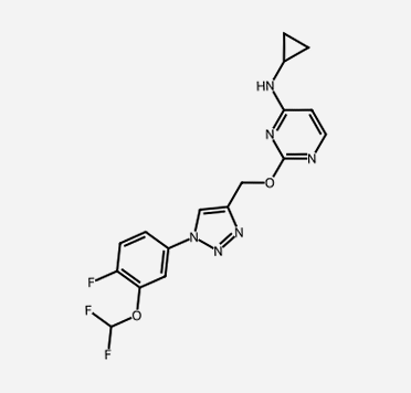 Fc1ccc(-n2cc(COc3nccc(NC4CC4)n3)nn2)cc1OC(F)F